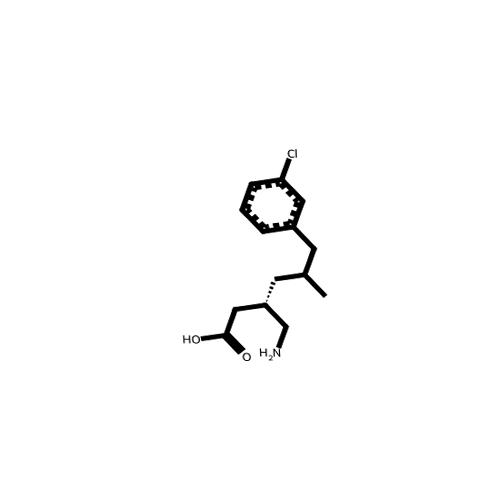 CC(Cc1cccc(Cl)c1)C[C@H](CN)CC(=O)O